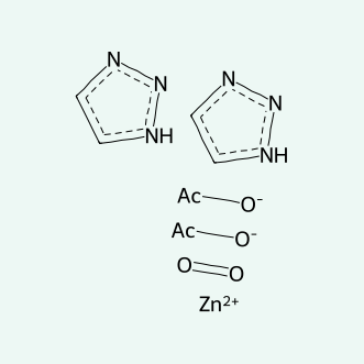 CC(=O)[O-].CC(=O)[O-].O=O.[Zn+2].c1c[nH]nn1.c1c[nH]nn1